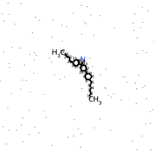 CCCCCCCC1CCC(C2CCC(C#N)(C3=CCC(CCCCC)CC3)CC2)CC1